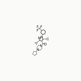 O=C(c1c(C2CC2)nn(-c2cccc(C(F)(F)F)c2)c1C1CC1)N1CCN(C2CCCC2)CC1